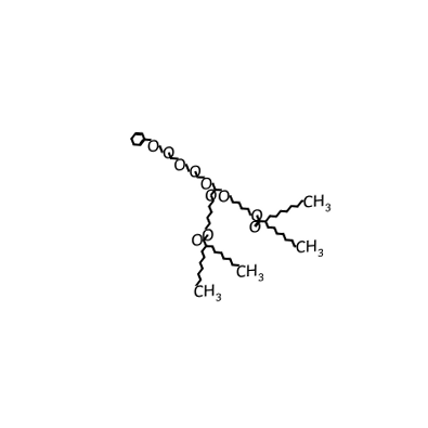 CCCCCCCCC(CCCCCCCC)C(=O)OCCCCCCOCC(COCCOCCOCCOCCOCC1=CCCC=C1)OCCCCCCOC(=O)C(CCCCCCCC)CCCCCCCC